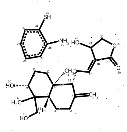 C=C1CC[C@@H]2C(C)(CO)[C@H](O)CC[C@@]2(C)[C@@H]1C/C=C1/C(=O)OCC1O.Nc1ccccc1S